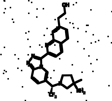 CC1(N)CCN([C@@H](c2ccc3nnc(-c4ccc5ccc(CCO)cc5n4)n3c2)C(F)(F)F)C1